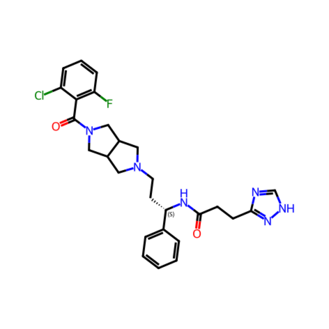 O=C(CCc1nc[nH]n1)N[C@@H](CCN1CC2CN(C(=O)c3c(F)cccc3Cl)CC2C1)c1ccccc1